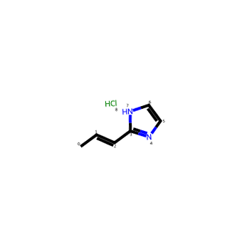 CC=Cc1ncc[nH]1.Cl